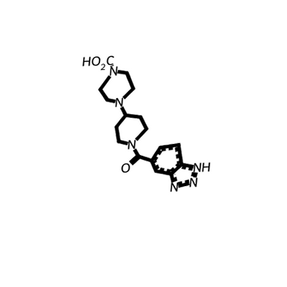 O=C(O)N1CCN(C2CCN(C(=O)c3ccc4[nH]nnc4c3)CC2)CC1